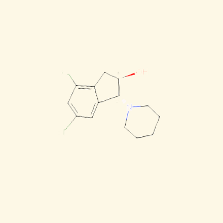 O[C@@H]1Cc2c(Cl)cc(Cl)cc2[C@H]1N1CCCCC1